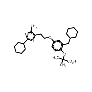 Cc1oc(C2CCCCC2)nc1CCOc1ccc(OC(C)(C)C(=O)O)c(CC2CCCCC2)c1